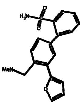 CNCc1ccc(-c2ccccc2S(N)(=O)=O)cc1-c1ccco1